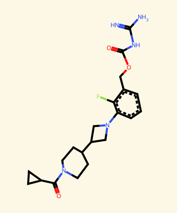 N=C(N)NC(=O)OCc1cccc(N2CC(C3CCN(C(=O)C4CC4)CC3)C2)c1F